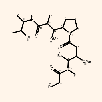 CCC(C)C(C(CC(=O)N1CCCC1C(OC)C(C)C(=O)NC(C)C(C)O)OC)N(C)C(=O)CC(C)C